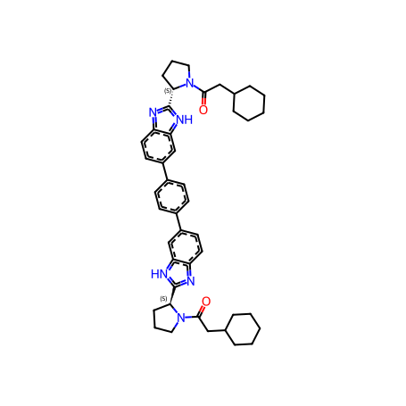 O=C(CC1CCCCC1)N1CCC[C@H]1c1nc2ccc(-c3ccc(-c4ccc5nc([C@@H]6CCCN6C(=O)CC6CCCCC6)[nH]c5c4)cc3)cc2[nH]1